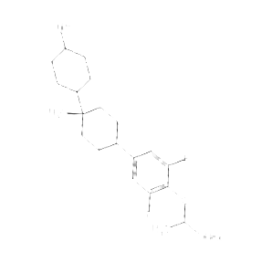 CCCCCCC(C)Oc1c(F)cc(C2CCC(C)(C3CCC(CCC)CC3)CC2)cc1F